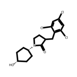 O=C1C(Cc2c(Cl)cc(Cl)cc2Cl)CCN1[C@H]1CC[C@@H](O)CC1